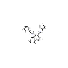 CC(/C=C/c1ccccc1)=C(/C=C/c1ccccc1)c1ccccc1O